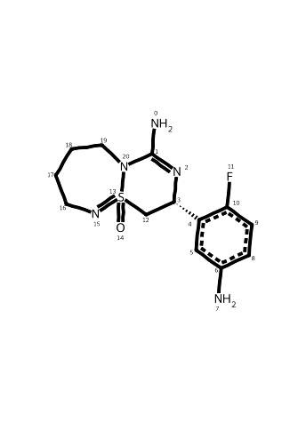 NC1=N[C@H](c2cc(N)ccc2F)CS2(=O)=NCCCCN12